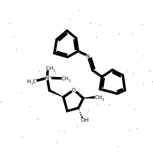 C(=N\c1ccccc1)/c1ccccc1.C[C@@H]1O[C@H](C[N+](C)(C)C)C[C@H]1O